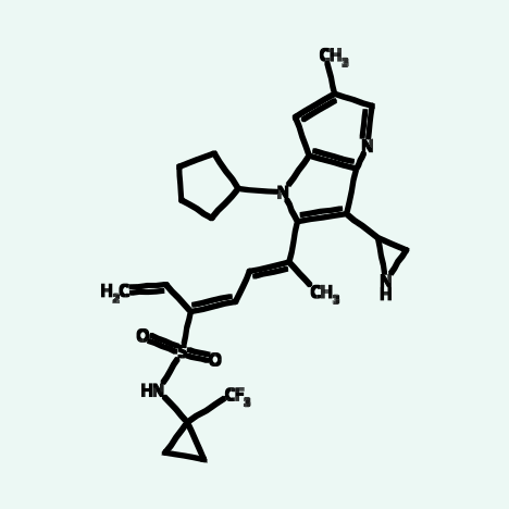 C=C/C(=C\C=C(/C)c1c(C2CN2)c2ncc(C)cc2n1C1CCCC1)S(=O)(=O)NC1(C(F)(F)F)CC1